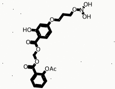 CC(=O)Oc1ccccc1C(=O)OCOC(=O)c1ccc(OCCCON(O)O)cc1O